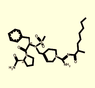 CCCCCCC(C)C(=O)N=C(N)N1CC=C(CN([C@H](Cc2ccccc2)C(=O)N2CCC[C@H]2C(N)=O)S(C)(=O)=O)CC1